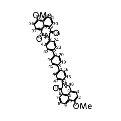 COc1ccc2c3c(cccc13)C(=O)N(c1ccc(-c3ccc(-c4ccc(N5C(=O)c6cccc7c(OC)ccc(c67)C5=O)cc4)cc3)cc1)C2